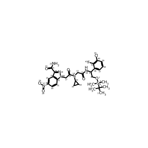 CC(C)(C)[Si](C)(C)OCC(NC(=O)CN(C(=O)Cn1nc(C(N)=O)c2cc([N+](=O)[O-])ccc21)C1CC1)c1cccc(Cl)c1F